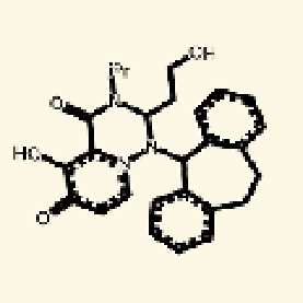 CC(C)N1C(=O)c2c(O)c(=O)ccn2N(C2c3ccccc3CCc3ccccc32)C1CCO